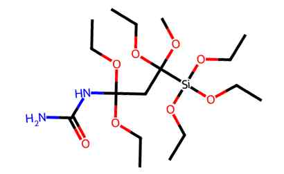 CCOC(CC(OC)(OCC)[Si](OCC)(OCC)OCC)(NC(N)=O)OCC